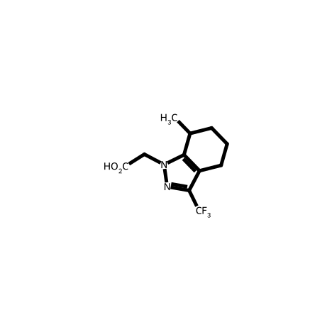 CC1CCCc2c(C(F)(F)F)nn(CC(=O)O)c21